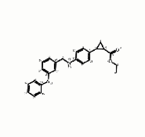 CCOC(=O)C1CC1c1ccc(NCc2cccc(Sc3ccccc3)c2)cc1